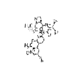 Cc1c(-c2ccc(NC(=O)[C@@H](NC(=O)c3ccnn3C(C)C)C(C3CC3)C3CC3)nc2F)cc(C#N)c[n+]1[O-]